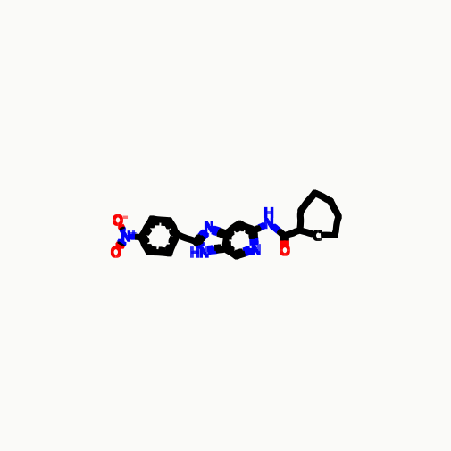 O=C(Nc1cc2nc(-c3ccc([N+](=O)[O-])cc3)[nH]c2cn1)C1CCCCCC1